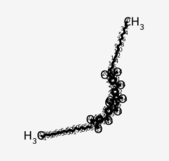 CCCCCCCCCCCCCCCCCCN1C(=O)c2ccc(C(=O)c3ccc4c(c3)C(=O)N(CN3C(=O)c5ccc(C(=O)c6ccc7c(c6)C(=O)N(CCCCCCCCCCCCCCCCCC)C7=O)cc5C3=O)C4=O)cc2C1=O